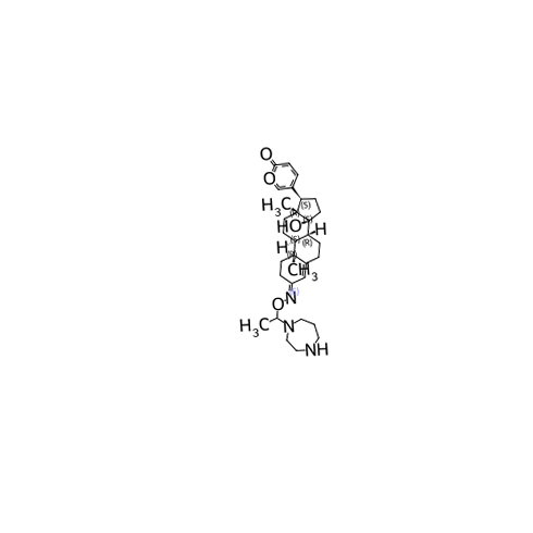 CC(O/N=C1/C=C2CC[C@@H]3[C@H](CC[C@]4(C)[C@@H](c5ccc(=O)oc5)CC[C@]34O)[C@@]2(C)CC1)N1CCCNCC1